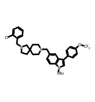 CCCCn1cc(-c2ccc(OC(F)(F)F)cc2)c2cc(CN3CCC4(CC3)CCN(Cc3ccccc3Cl)C4)ccc21